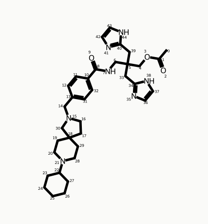 CC(=O)OCC(CNC(=O)c1ccc(CN2CCC3(CCN(C4CCCCC4)CC3)C2)cc1)(Cc1ncc[nH]1)Cc1ncc[nH]1